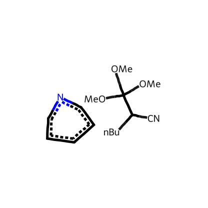 CCCCC(C#N)C(OC)(OC)OC.c1ccncc1